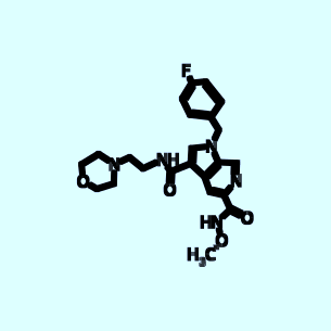 CONC(=O)c1cc2c(C(=O)NCCN3CCOCC3)cn(Cc3ccc(F)cc3)c2cn1